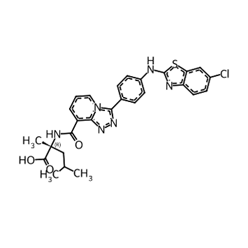 CC(C)C[C@@](C)(NC(=O)c1cccn2c(-c3ccc(Nc4nc5ccc(Cl)cc5s4)cc3)nnc12)C(=O)O